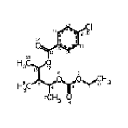 CCOC(=O)OC(C)C(C)C(C)OC(=O)c1ccc(Cl)cc1